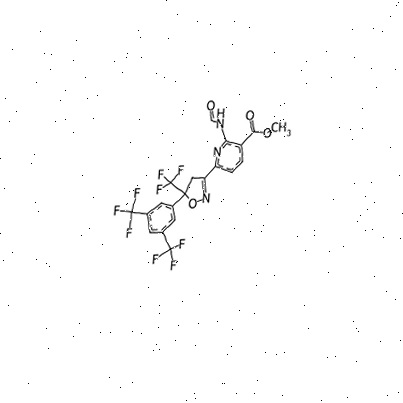 COC(=O)c1ccc(C2=NOC(c3cc(C(F)(F)F)cc(C(F)(F)F)c3)(C(F)(F)F)C2)nc1NC=O